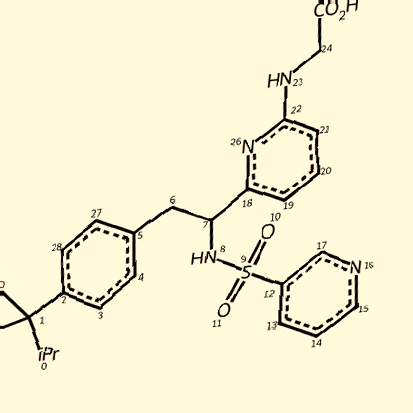 CC(C)C1(c2ccc(CC(NS(=O)(=O)c3cccnc3)c3cccc(NCC(=O)O)n3)cc2)CC1